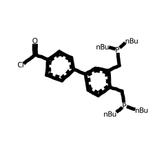 CCCCP(CCCC)Cc1ccc(-c2ccc(C(=O)Cl)cc2)cc1CP(CCCC)CCCC